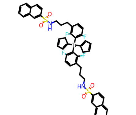 O=S(=O)(NCCCc1ccc(F)[c]([Ti]([C]2=CC=CC2)([C]2=CC=CC2)[c]2c(F)ccc(CCCNS(=O)(=O)c3ccc4ccccc4c3)c2F)c1F)c1ccc2ccccc2c1